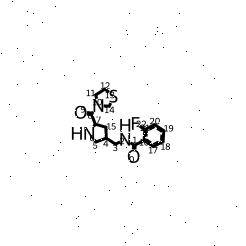 O=C(NCC1CNC(C(=O)N2CCSC2)C1)c1ccccc1F